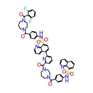 O=C(c1ccc(NS(=O)(=O)c2cccc3cccnc23)cc1)N1CCCN(C(=O)c2cccc(-c3ccc(S(=O)(=O)Nc4ccc(C(=O)N5CCCN(C(=O)c6c(F)cccc6F)CC5)cc4)c4ncccc34)n2)CC1